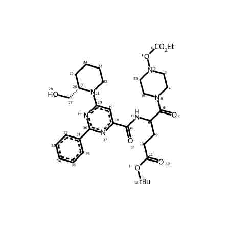 CCOC(=O)ON1CCN(C(=O)C(CCC(=O)OC(C)(C)C)NC(=O)c2cc(N3CCCC[C@H]3CO)nc(-c3ccccc3)n2)CC1